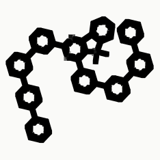 C[Si]1(C)c2ccccc2-c2nc(-c3cccc(-c4cccc(-c5ccc(-c6ccccc6)cc5)c4)c3)nc(-c3cccc(-c4cccc(-c5cccc(-c6ccccc6)c5)c4)c3)c21